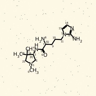 CN1C[C@H](NC(=O)[C@@H](N)CCCn2ccnc2N)C(C)(C)C1